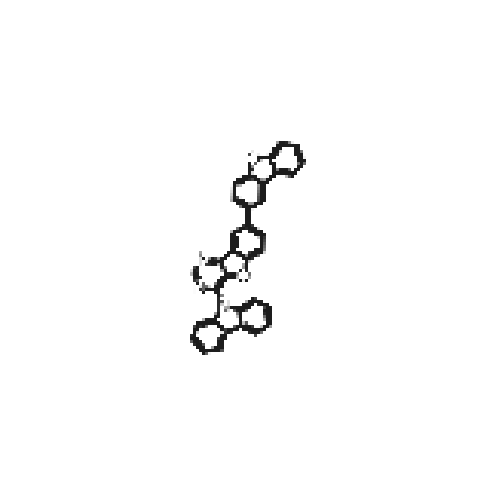 c1ccc2c(c1)oc1ccc(-c3ccc4oc5c(-n6c7ccccc7c7ccccc76)ncnc5c4c3)cc12